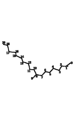 C[CH]CCCCCCC(C)CCCCCCCCCC